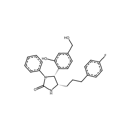 O=C1N[C@@H](CCCc2ccc(F)cc2)[C@@H](c2ccc(CO)cc2O)N1c1ccccc1